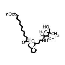 CCCCCCCCC=CCCCCCCCC(=O)NCC1CCCN1C(=O)CCNC(=O)C(O)C(C)(C)CO